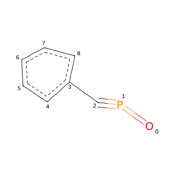 O=P#Cc1ccccc1